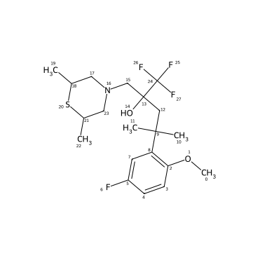 COc1ccc(F)cc1C(C)(C)CC(O)(CN1CC(C)SC(C)C1)C(F)(F)F